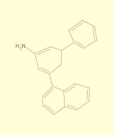 NC1=CC(c2ccccc2)CC(c2cccc3ccccc23)=C1